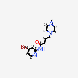 CN1CCN(CCCC(=O)Nc2cc(Br)ccn2)CC1